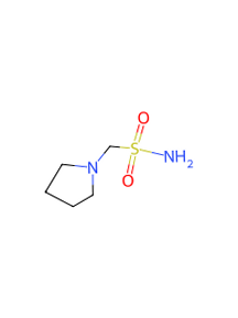 NS(=O)(=O)CN1CCCC1